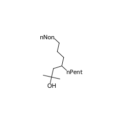 CCCCCCCCCCCCC(CCCCC)CC(C)(C)O